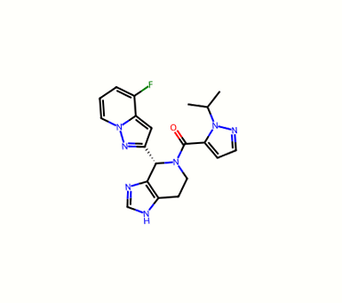 CC(C)n1nccc1C(=O)N1CCc2[nH]cnc2[C@@H]1c1cc2c(F)cccn2n1